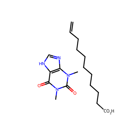 C=CCCCCCCCCC(=O)O.Cn1c(=O)c2[nH]cnc2n(C)c1=O